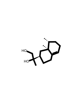 C[C@@H]1CCC=C2CC[C@@H](C(C)(O)CO)C[C@]21C